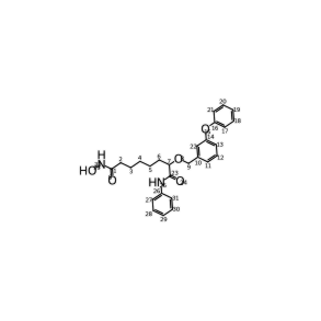 O=C(CCCCCC(OCc1cccc(Oc2ccccc2)c1)C(=O)Nc1ccccc1)NO